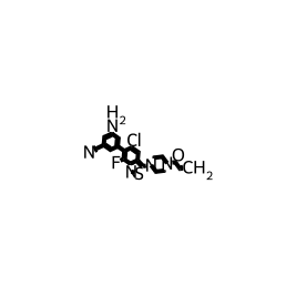 C=CC(=O)N1CCN(c2snc3c(F)c(-c4cc(N)cc(C#N)c4)c(Cl)cc23)CC1